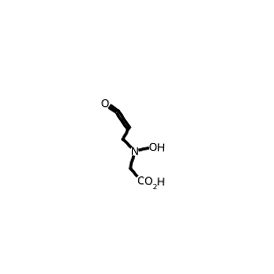 O=C=CCN(O)CC(=O)O